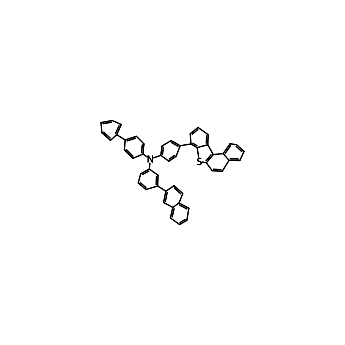 c1ccc(-c2ccc(N(c3ccc(-c4cccc5c4sc4ccc6ccccc6c45)cc3)c3cccc(-c4ccc5ccccc5c4)c3)cc2)cc1